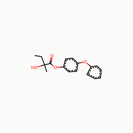 CCC(C)(O)C(=O)Oc1ccc(Oc2ccccc2)cc1